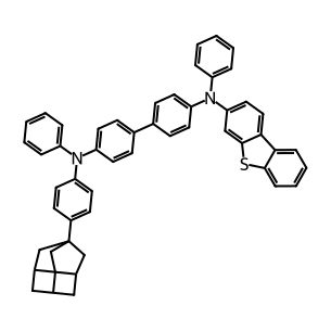 c1ccc(N(c2ccc(-c3ccc(N(c4ccccc4)c4ccc5c(c4)sc4ccccc45)cc3)cc2)c2ccc(C34CC5CC6CC(C3)C65C4)cc2)cc1